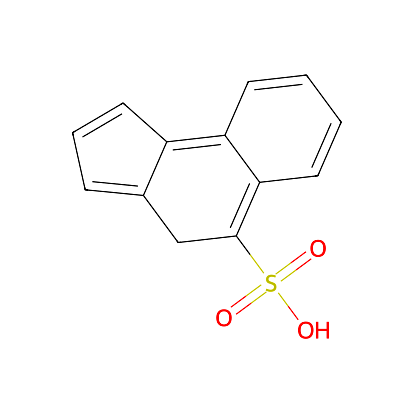 O=S(=O)(O)C1=c2ccccc2=C2C=CC=C2C1